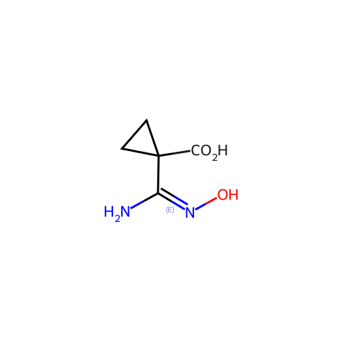 N/C(=N/O)C1(C(=O)O)CC1